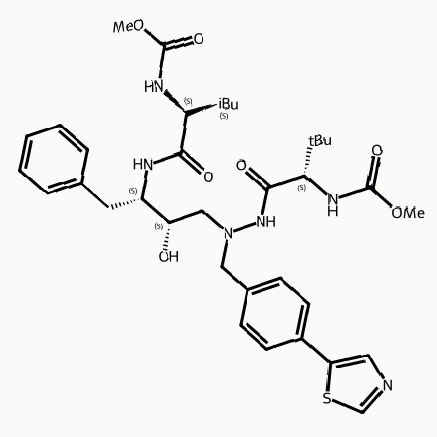 CC[C@H](C)[C@H](NC(=O)OC)C(=O)N[C@@H](Cc1ccccc1)[C@@H](O)CN(Cc1ccc(-c2cncs2)cc1)NC(=O)[C@@H](NC(=O)OC)C(C)(C)C